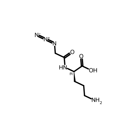 [N-]=[N+]=NCC(=O)N[C@H](CCCN)C(=O)O